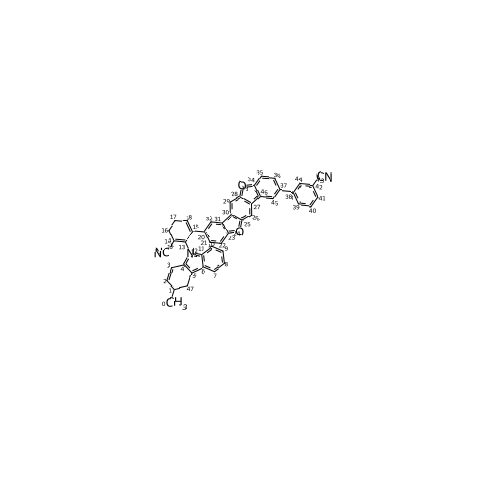 CC1C=Cc2c(c3ccccc3n2C2=C(C#N)CCC=C2c2ccc3oc4cc5c(cc4c3c2)oc2ccc(-c3cccc(C#N)c3)cc25)C1